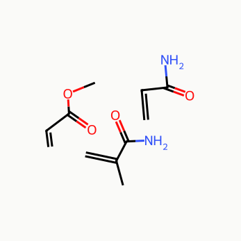 C=C(C)C(N)=O.C=CC(=O)OC.C=CC(N)=O